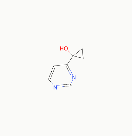 OC1(c2ccn[c]n2)CC1